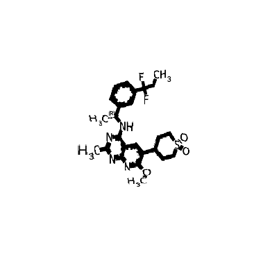 CCC(F)(F)c1cccc([C@@H](C)Nc2nc(C)nc3nc(OC)c(C4CCS(=O)(=O)CC4)cc23)c1